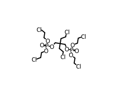 O=P(OCCCl)(OCCCl)OCC(CCCl)(CCCl)COP(=O)(OCCCl)OCCCl